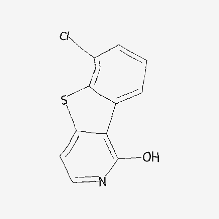 Oc1nccc2sc3c(Cl)cccc3c12